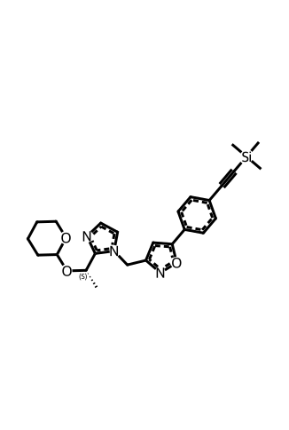 C[C@H](OC1CCCCO1)c1nccn1Cc1cc(-c2ccc(C#C[Si](C)(C)C)cc2)on1